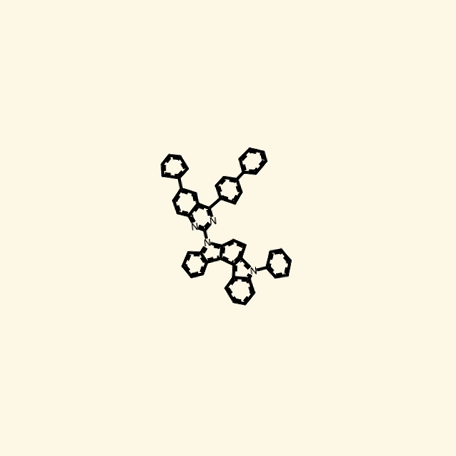 c1ccc(-c2ccc(-c3nc(-n4c5ccccc5c5c6c7ccccc7n(-c7ccccc7)c6ccc54)nc4ccc(-c5ccccc5)cc34)cc2)cc1